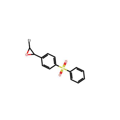 CCC1OC1c1ccc(S(=O)(=O)c2ccccc2)cc1